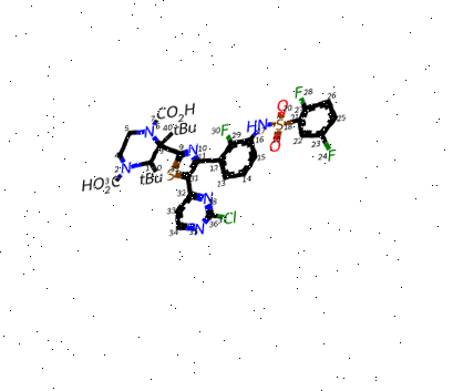 CC(C)(C)C1N(C(=O)O)CCN(C(=O)O)C1(c1nc(-c2cccc(NS(=O)(=O)c3cc(F)ccc3F)c2F)c(-c2ccnc(Cl)n2)s1)C(C)(C)C